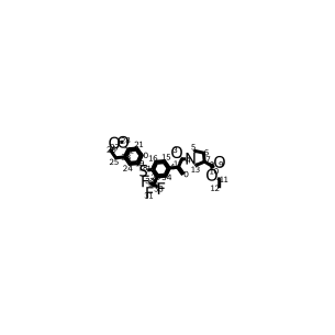 C=C(C(=O)N1CCC(C(=O)OCC)C1)c1ccc(Sc2ccc3c(c2)CCOO3)c(C(F)(F)F)c1